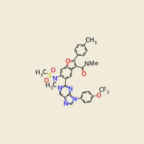 CNC(=O)c1c(-c2ccc(C)cc2)oc2cc(N(C)S(C)(=O)=O)c(-c3ncc4ncn(-c5ccc(OC(F)(F)F)cc5)c4n3)cc12